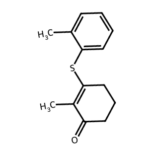 CC1=C(Sc2ccccc2C)CCCC1=O